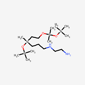 C[Si](C)(C)O[Si](C)(CCCNCCN)CCO[Si](C)(C)O[Si](C)(C)C